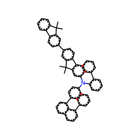 CC1(C)c2ccccc2-c2ccc(-c3ccc4c(c3)C(C)(C)c3cc(N(c5ccc(-c6cccc7cccc(-c8ccccc8)c67)cc5)c5ccccc5-c5ccccc5)ccc3-4)cc21